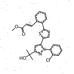 COC(=O)/C=C/c1ccccc1-c1ccc(-c2cc(C(C)(C)O)nn2-c2ccccc2Cl)s1